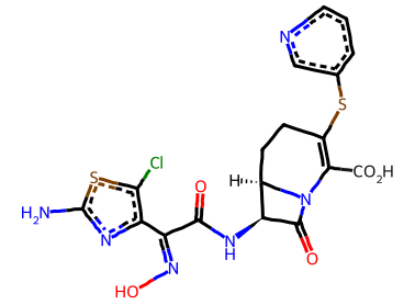 Nc1nc(C(=NO)C(=O)N[C@@H]2C(=O)N3C(C(=O)O)=C(Sc4cccnc4)CC[C@H]23)c(Cl)s1